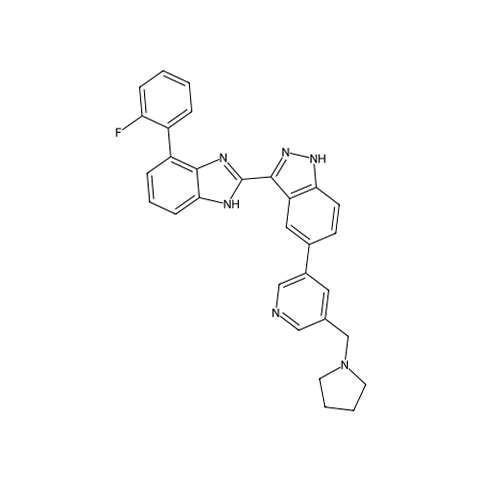 Fc1ccccc1-c1cccc2[nH]c(-c3n[nH]c4ccc(-c5cncc(CN6CCCC6)c5)cc34)nc12